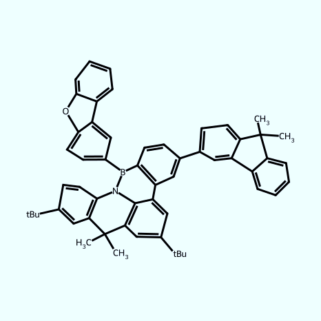 CC(C)(C)c1ccc2c(c1)C(C)(C)c1cc(C(C)(C)C)cc3c1N2B(c1ccc2oc4ccccc4c2c1)c1ccc(-c2ccc4c(c2)-c2ccccc2C4(C)C)cc1-3